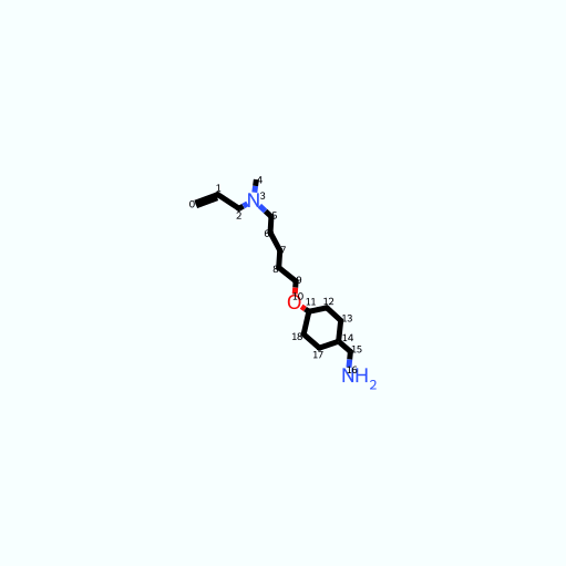 C=CCN(C)CCCCCOC1CCC(CN)CC1